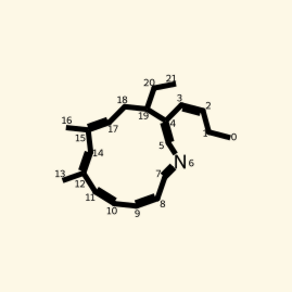 CC\C=C/C1=C\N=C\C=C/C=C\C(C)=C\C(C)=C\CC1CC